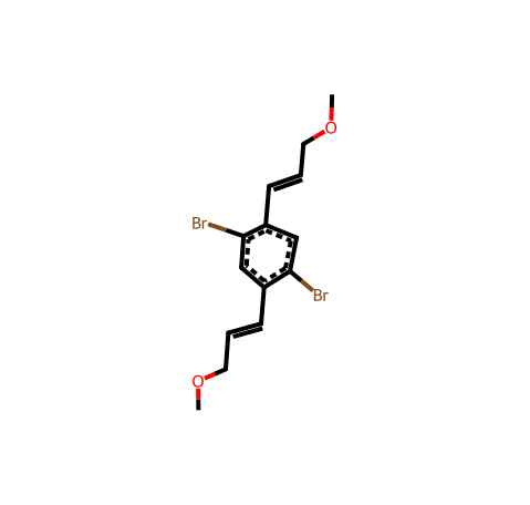 COCC=Cc1cc(Br)c(C=CCOC)cc1Br